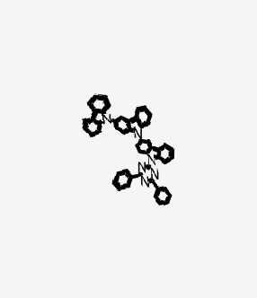 c1ccc(-c2nc(-c3ccccc3)nc(-n3c4ccccc4c4cc(-n5c6ccccc6c6cc(-n7c8ccccc8c8ccccc87)ccc65)ccc43)n2)cc1